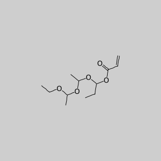 C=CC(=O)OC(CC)OC(C)OC(C)OCC